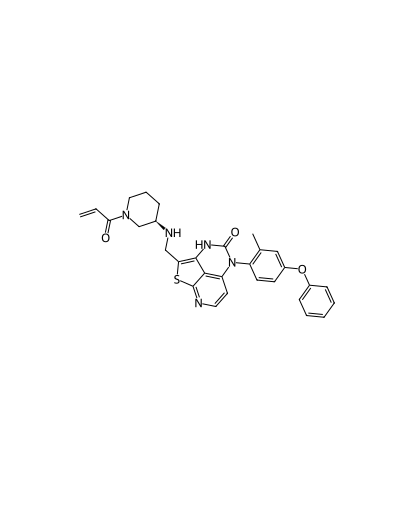 C=CC(=O)N1CCC[C@@H](NCc2sc3nccc4c3c2NC(=O)N4c2ccc(Oc3ccccc3)cc2C)C1